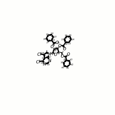 O=C(OC[C@H]1O[C@@H](n2cc(Cl)c3c(Cl)ncnc32)[C@H](OC(=O)c2ccccc2)[C@@H]1OC(=O)c1ccccc1)c1ccccc1